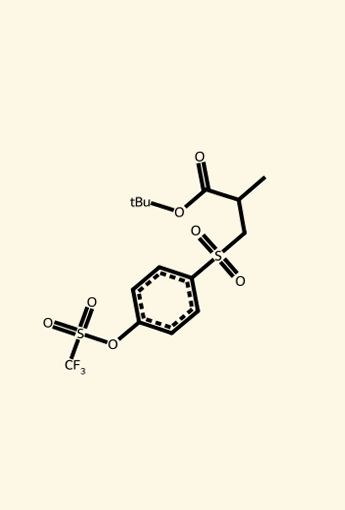 CC(CS(=O)(=O)c1ccc(OS(=O)(=O)C(F)(F)F)cc1)C(=O)OC(C)(C)C